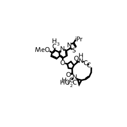 COc1ccc2c(OC3CC4C(=O)NCCCCC=CC5CC5(C(=O)O)N(C)C(=O)C4C3)cc(-c3nc(C(C)C)cs3)nc2c1C